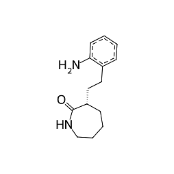 Nc1ccccc1CC[C@@H]1CCCCNC1=O